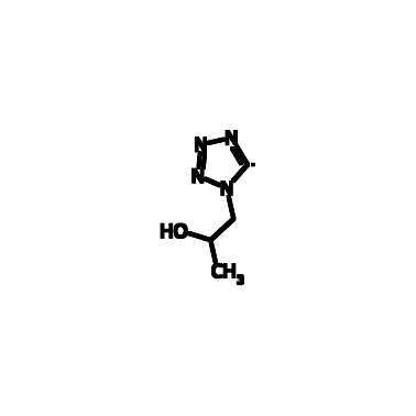 CC(O)Cn1[c]nnn1